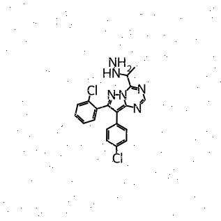 CC(NN)c1ncnc2c(-c3ccc(Cl)cc3)c(-c3ccccc3Cl)nn12